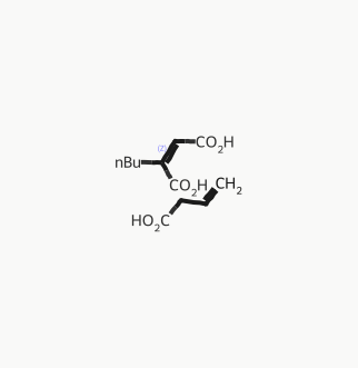 C=CCC(=O)O.CCCC/C(=C/C(=O)O)C(=O)O